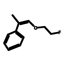 C/C(=C/OCCF)c1ccccc1